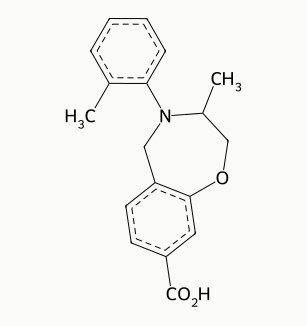 Cc1ccccc1N1Cc2ccc(C(=O)O)cc2OCC1C